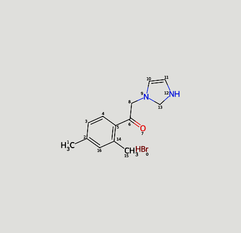 Br.Cc1ccc(C(=O)CN2C=CNC2)c(C)c1